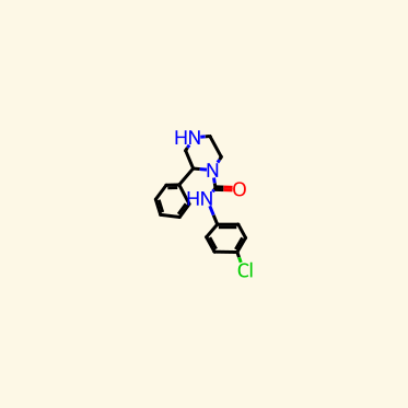 O=C(Nc1ccc(Cl)cc1)N1CCNCC1c1ccccc1